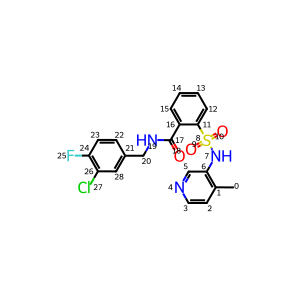 Cc1ccncc1NS(=O)(=O)c1ccccc1C(=O)NCc1ccc(F)c(Cl)c1